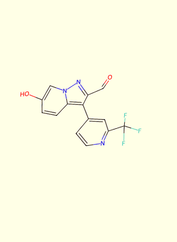 O=Cc1nn2cc(O)ccc2c1-c1ccnc(C(F)(F)F)c1